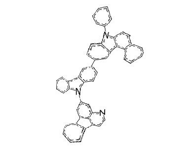 c1ccc(-n2c3ccc(-c4ccc5c(c4)c4ccccc4n5-c4cc5c6c(ccnc6c4)-c4ccccc4-5)cc3c3c4ccccc4ccc32)cc1